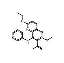 CCOc1ccc2nc(N(C)C)c(C(C)=O)c(Nc3cccnc3)c2n1